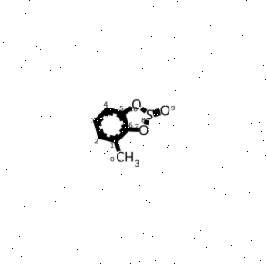 Cc1cccc2c1OS(=O)O2